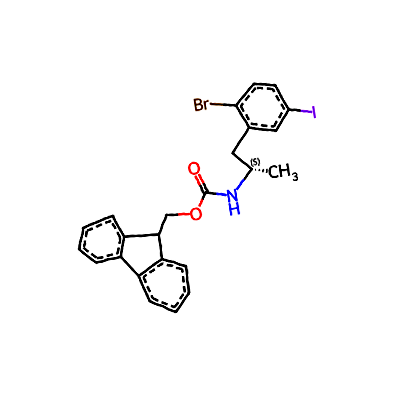 C[C@@H](Cc1cc(I)ccc1Br)NC(=O)OCC1c2ccccc2-c2ccccc21